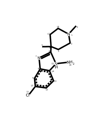 CN1CCC(C)(C2=Nc3cc(Cl)ccc3[SH]2N)CC1